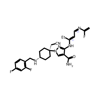 C=C(F)/N=C\C=C(/CC)Nc1nn([C@]2(CC#N)CC[C@@H](NCc3ccc(F)cc3F)CC2)cc1C(N)=O